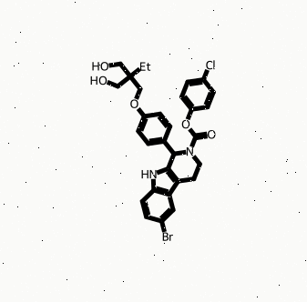 CCC(CO)(CO)COc1ccc(C2c3[nH]c4ccc(Br)cc4c3CCN2C(=O)Oc2ccc(Cl)cc2)cc1